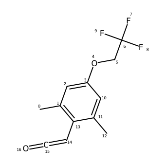 Cc1cc(OCC(F)(F)F)cc(C)c1C=C=O